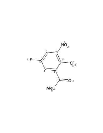 COC(=O)c1cc(F)cc([N+](=O)[O-])c1C(F)(F)F